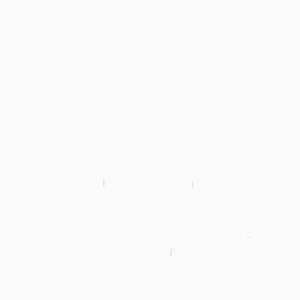 CC1CCC(C2CC=C(C(F)(F)Oc3ccc4c(F)c(C#CC(F)(F)F)c(F)cc4c3)CC2)CC1